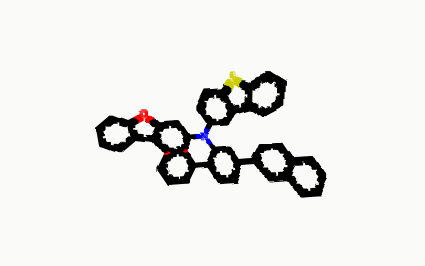 c1ccc(-c2ccc(-c3ccc4ccccc4c3)cc2N(c2ccc3c(c2)oc2ccccc23)c2ccc3sc4ccccc4c3c2)cc1